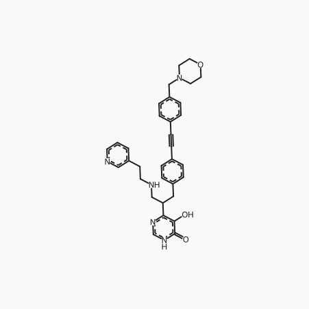 O=c1[nH]cnc(C(CNCCc2cccnc2)Cc2ccc(C#Cc3ccc(CN4CCOCC4)cc3)cc2)c1O